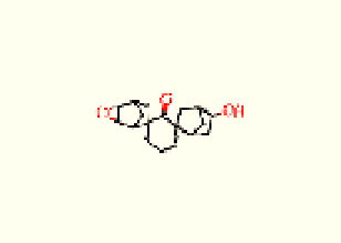 O=C1C2(CCCC13CC1CC3C3OC13)CC1CC2CC1O